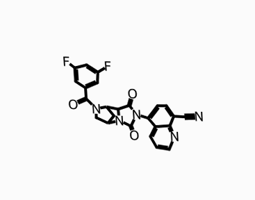 N#Cc1ccc(N2C(=O)C3C4CC(CN4C(=O)c4cc(F)cc(F)c4)N3C2=O)c2cccnc12